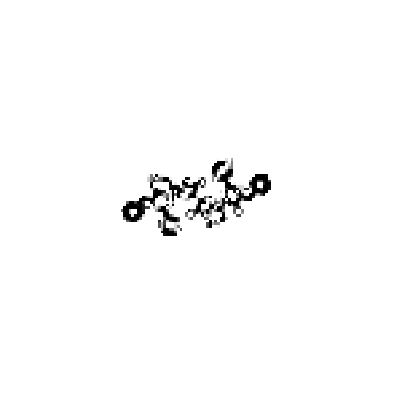 CC(C)C[C@H](NC(=O)C(Cc1ccccc1)NC(=O)c1cnccn1)B1OC(=O)C([C@@H]2OB([C@H](CC(C)C)NC(=O)C(Cc3ccccc3)NC(=O)c3cnccn3)OC2=O)O1